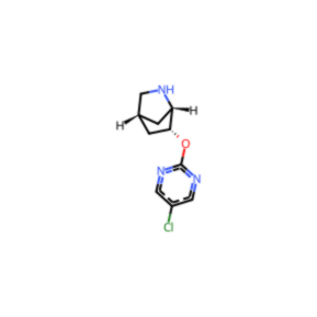 Clc1cnc(O[C@@H]2C[C@@H]3CN[C@H]2C3)nc1